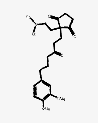 CCN(CC)CCC1(CCC(=O)CCCc2ccc(OC)c(OC)c2)C(=O)CCC1=O